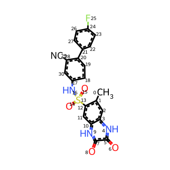 Cc1cc2[nH]c(=O)c(=O)[nH]c2cc1S(=O)(=O)Nc1ccc(-c2ccc(F)cc2)c(C#N)c1